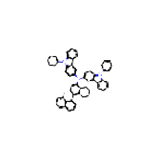 Cc1cccc2cccc(-c3ccc(N(c4ccc5c(c4)c4ccccc4n5-c4ccccc4)c4ccc5c(c4)c4ccccc4n5-c4ccccc4)c4ccccc34)c12